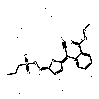 CCCS(=O)(=O)ON=C1C=CC(=C(C#N)c2ccccc2C(=O)OCC)S1